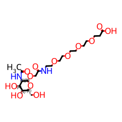 CC(=O)N[C@H]1[C@H](OCC(=O)NCCOCCOCCOCCOCCC(=O)O)O[C@H](CO)[C@@H](O)[C@@H]1O